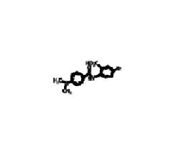 CN(C)c1ccc(C(=O)Nc2ccc(Br)cc2C(=O)O)cc1